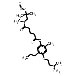 CCCc1cc(OC(=O)CCCC(=O)N(C)CC(C)(C)SN=O)c(C)cc1OCCN(C)C